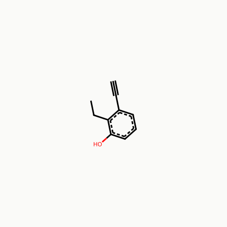 C#Cc1cccc(O)c1CC